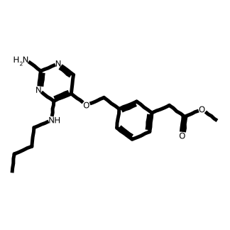 CCCCNc1nc(N)ncc1OCc1cccc(CC(=O)OC)c1